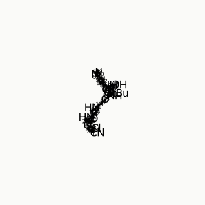 CC(C)(C)[C@H](NC(=O)COCCCCCNc1ccc(C(=O)N[C@H]2C(C)(C)[C@H](Oc3ccc(C#N)c(Cl)c3)C2(C)C)cc1)C(=O)N1C[C@H](O)C[C@H]1C(=O)NCc1ccc(-c2cncnc2)cc1